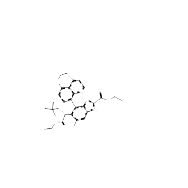 CCOC(=O)c1nc2cc(C)c([C@H](OC(C)(C)C)C(=O)OCC)c(-c3ccc4c5c(ccnc35)CCO4)c2s1